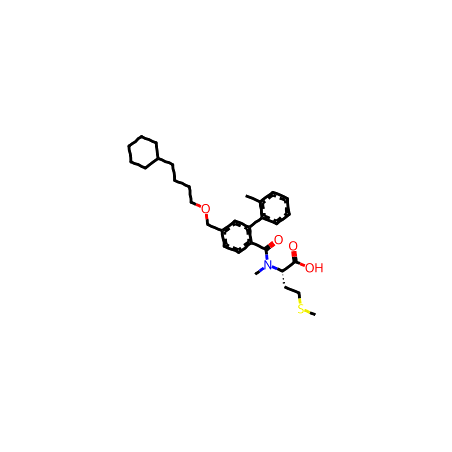 CSCC[C@@H](C(=O)O)N(C)C(=O)c1ccc(COCCCCC2CCCCC2)cc1-c1ccccc1C